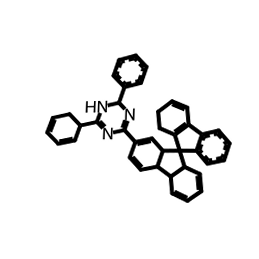 C1=CCC(C2=NC(C3=CC4C(C=C3)C3C=CC=CC3C43C4=C(C=CCC4)c4ccccc43)=NC(c3ccccc3)N2)C=C1